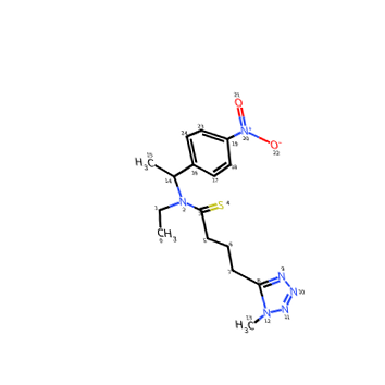 CCN(C(=S)CCCc1nnnn1C)C(C)c1ccc([N+](=O)[O-])cc1